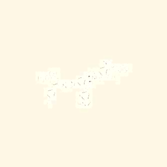 Cc1c(Cl)c(C(=O)NS(=O)(=O)c2ccc(N3CCN(CC4=C(c5ccc(Cl)cc5)CC(C)(C)CC4)CC3)cc2Oc2cnc3[nH]ccc3c2)cc([N+](=O)[O-])c1OCC1CCOCC1